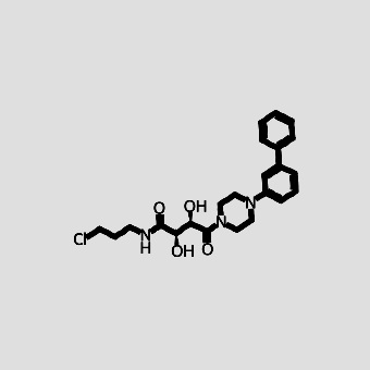 O=C(NCCCCl)[C@H](O)[C@@H](O)C(=O)N1CCN(c2cccc(-c3ccccc3)c2)CC1